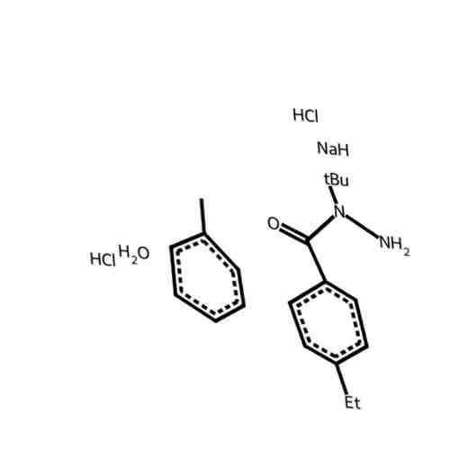 CCc1ccc(C(=O)N(N)C(C)(C)C)cc1.Cc1ccccc1.Cl.Cl.O.[NaH]